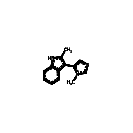 Cc1[nH]c2ccccc2c1-c1cncn1C